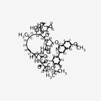 COc1ccc2c(O[C@@H]3C[C@H]4C(=O)N[C@]5(C(=O)NS(=O)(=O)C6(C)CC6)C[C@H]5C=CCC[C@@H](C)C[C@@H](C)[C@H](N(CC5(C)CC5)C(=O)O)C(=O)N4C3)nc(-c3ccc(OC(C)C)c(F)c3)cc2c1